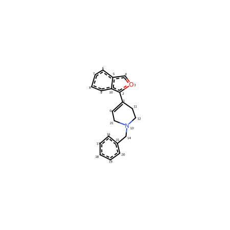 C1=C(c2occ3ccccc23)CCN(Cc2ccccc2)C1